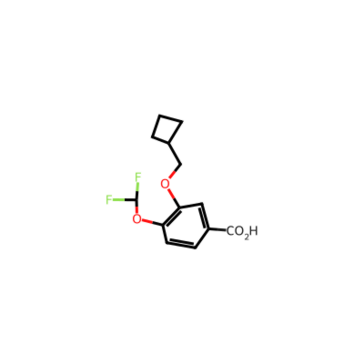 O=C(O)c1ccc(OC(F)F)c(OCC2CCC2)c1